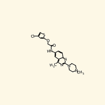 Cc1nc(N2CCN(C)CC2)nc2ccc(NC(=O)COc3cc(Cl)cs3)cc12